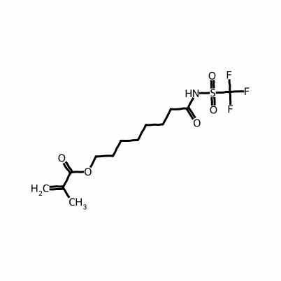 C=C(C)C(=O)OCCCCCCCC(=O)NS(=O)(=O)C(F)(F)F